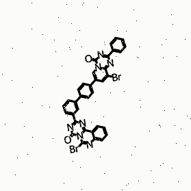 O=c1nc(-c2ccccc2)nc2c(Br)cc(-c3ccc(-c4cccc(-c5nc(=O)n6c(Br)nc7ccccc7c6n5)c4)cc3)cn12